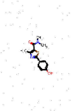 Cc1nc(-c2ccc(O)cc2)sc1C(=O)N(C)C